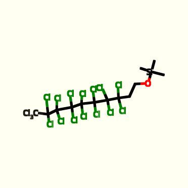 C[Si](C)(C)OCCC(Cl)(Cl)C(Cl)(Cl)C(Cl)(Cl)C(Cl)(Cl)C(Cl)(Cl)C(Cl)(Cl)C(Cl)(Cl)C(Cl)(Cl)Cl